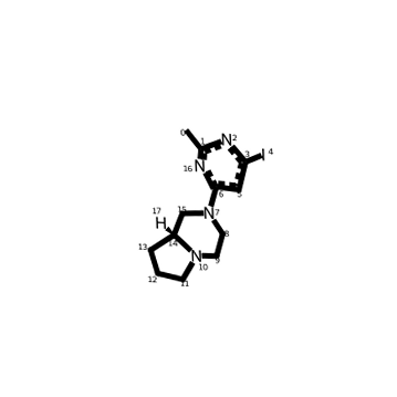 Cc1nc(I)cc(N2CCN3CCC[C@@H]3C2)n1